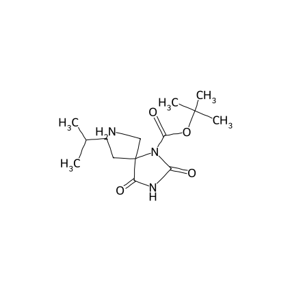 CC(C)CCC1(CN)C(=O)NC(=O)N1C(=O)OC(C)(C)C